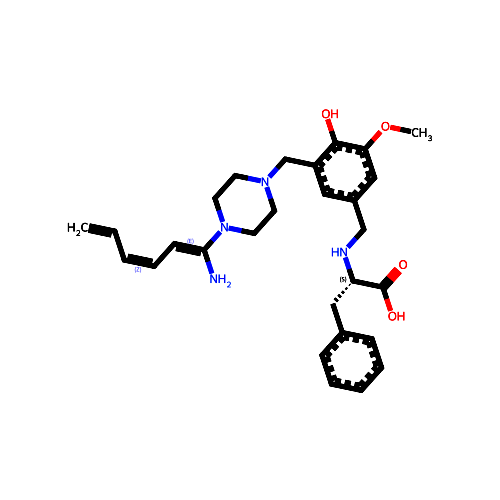 C=C/C=C\C=C(/N)N1CCN(Cc2cc(CN[C@@H](Cc3ccccc3)C(=O)O)cc(OC)c2O)CC1